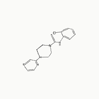 S=C(Nc1ccccc1Cl)N1CCN(c2cnccn2)CC1